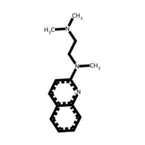 CN(C)CCN(C)c1ccc2ccccc2n1